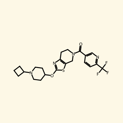 O=C(c1ccc(C(F)(F)F)nc1)N1CCc2nc(OC3CCN(C4CCC4)CC3)sc2C1